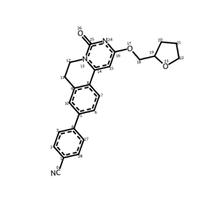 N#Cc1ccc(-c2ccc3c(c2)CCn2c-3cc(OCC3CCCO3)nc2=O)cc1